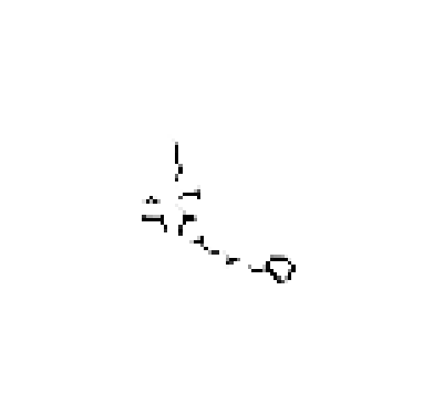 NCCCC[C@H](NC(=O)[C@H](Cc1c[nH]cn1)NC(=O)CNC(=O)OCc1ccccc1)C(=O)O